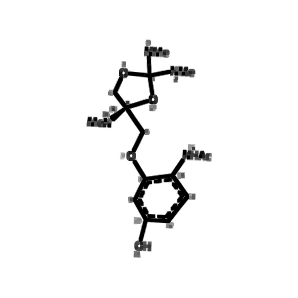 CNC1(NC)OC[C@](COc2cc(O)ccc2NC(C)=O)(NC)O1